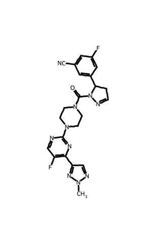 Cn1ncc(-c2nc(N3CCN(C(=O)N4N=CCC4c4cc(F)cc(C#N)c4)CC3)ncc2F)n1